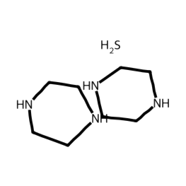 C1CNCCN1.C1CNCCN1.S